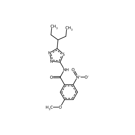 CCC(CC)c1nnc(NC(=O)c2cc(OC)ccc2[N+](=O)[O-])s1